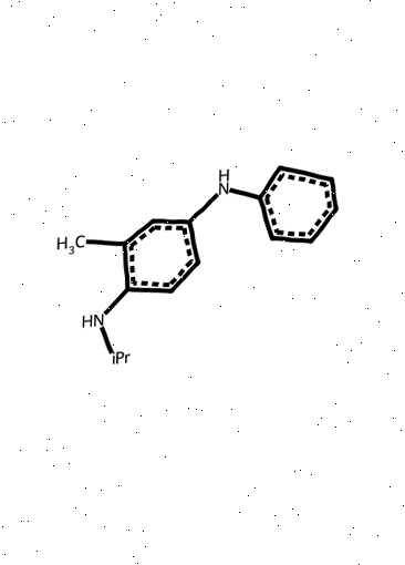 Cc1cc(Nc2ccccc2)ccc1NC(C)C